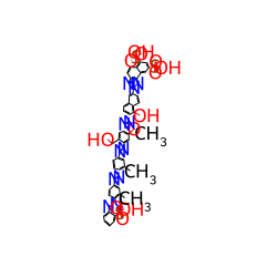 COc1cc(N=Nc2ccc(N=Nc3ccc(N=Nc4ccccc4S(=O)(=O)O)c(C)c3)c(C)c2)c(CO)cc1N=Nc1ccc2cc(-n3nc4ccc5c(S(=O)(=O)O)cc(S(=O)(=O)O)cc5c4n3)ccc2c1O